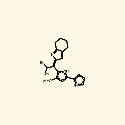 CCCC(CC)C(=C1C=C2CCCCC2=N1)c1[nH]c(-c2ccc[nH]2)cc1OC